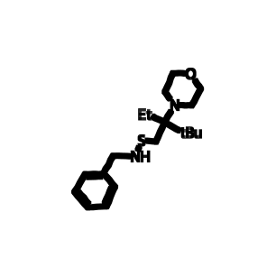 CCC(CSNCc1ccccc1)(N1CCOCC1)C(C)(C)C